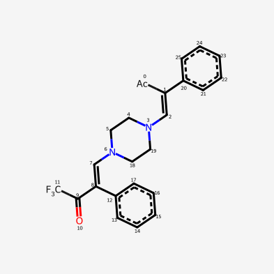 CC(=O)/C(=C\N1CCN(/C=C(/C(=O)C(F)(F)F)c2ccccc2)CC1)c1ccccc1